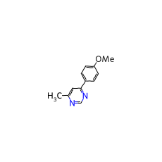 COc1ccc(-c2cc(C)ncn2)cc1